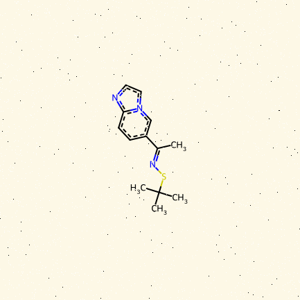 C/C(=N\SC(C)(C)C)c1ccc2nccn2c1